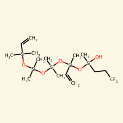 C=C[Si](C)(C)O[Si](C)(C)O[Si](C)(C)O[Si](C)(C=C)O[Si](C)(O)CCC(F)(F)F